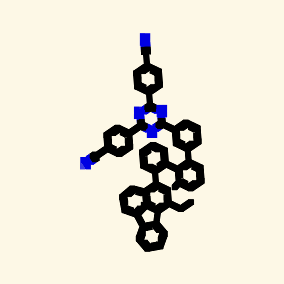 CCc1cc(-c2ccccc2-c2c(C)cccc2-c2cccc(-c3nc(-c4ccc(C#N)cc4)nc(-c4ccc(C#N)cc4)n3)c2)c2cccc3c2c1-c1ccccc1-3